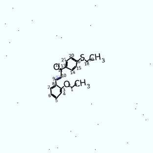 CCOc1ccccc1/C=C/C(=O)c1ccc(SCC)cc1